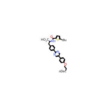 CCCCCCCCCCCCOc1ccc(-c2cnc(-c3ccc(C[C@H](NC(=O)c4ccc(C(C)(C)C)s4)C(=O)O)cc3)nc2)cc1